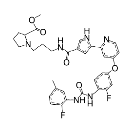 COC(=O)C1CCCN1CCCNC(=O)c1c[nH]c(-c2cc(Oc3ccc(NC(=O)Nc4cc(C)ccc4F)c(F)c3)ccn2)c1